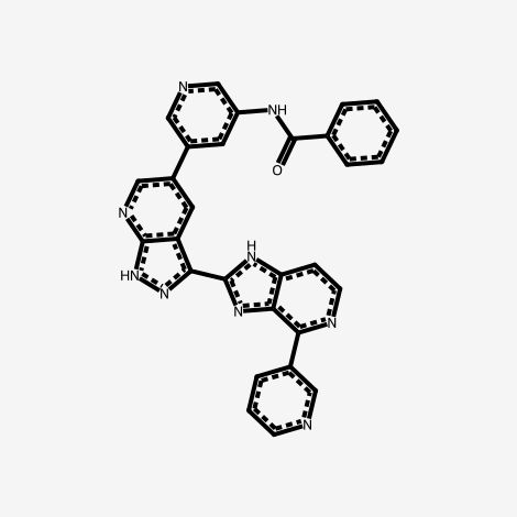 O=C(Nc1cncc(-c2cnc3[nH]nc(-c4nc5c(-c6cccnc6)nccc5[nH]4)c3c2)c1)c1ccccc1